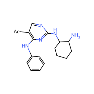 CC(=O)c1cnc(NC2CCCCC2N)nc1Nc1ccccc1